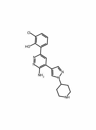 Nc1nnc(-c2cccc(Cl)c2O)cc1-c1cnn(C2CCNCC2)c1